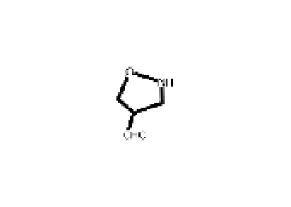 O=CC1CNOC1